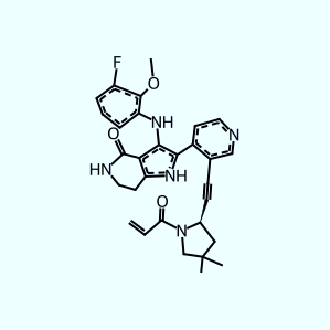 C=CC(=O)N1CC(C)(C)C[C@@H]1C#Cc1cnccc1-c1[nH]c2c(c1Nc1cccc(F)c1OC)C(=O)NCC2